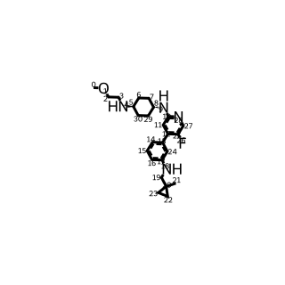 COCCN[C@H]1CC[C@H](Nc2cc(-c3cccc(NCC4(C)CC4)c3)c(F)cn2)CC1